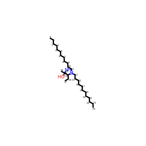 CCCCCCCCCCCCN(CCCCCCCCCCCC)C(CC)C(C)(N)O